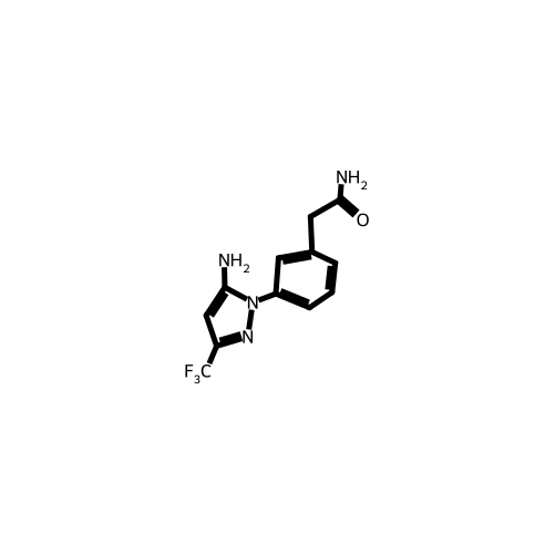 NC(=O)Cc1cccc(-n2nc(C(F)(F)F)cc2N)c1